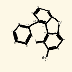 Cc1c(C(C)(C)C)ccc2oc3cccc(-c4ccccc4)c3c12